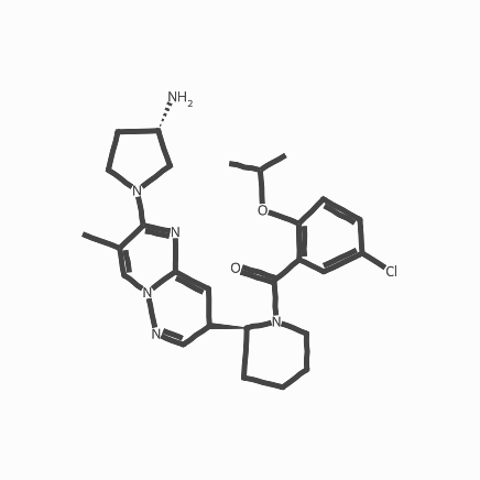 CC1=CN2N=CC([C@@H]3CCCCN3C(=O)c3cc(Cl)ccc3OC(C)C)C=C2N=C1N1CC[C@H](N)C1